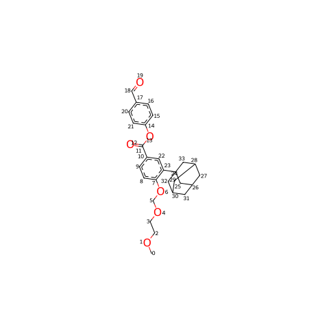 COCCOCOc1ccc(C(=O)Oc2ccc(C=O)cc2)cc1C12CC3CC(CC(C3)C1)C2